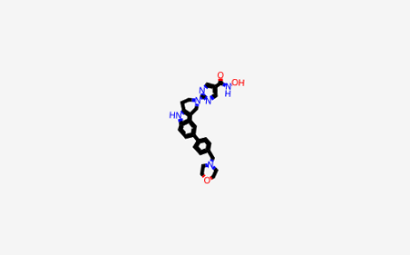 O=C(NO)c1cnc(N2CCc3[nH]c4ccc(-c5ccc(CN6CCOCC6)cc5)cc4c3C2)nc1